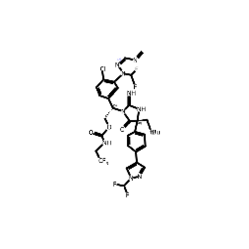 C=N/C=N\N(c1cc([C@@H](COC(=O)NCC(F)(F)F)N2C(=N)N[C@](CC(C)(C)C)(c3ccc(-c4cnn(C(F)F)c4)cc3)C2=O)ccc1Cl)C(F)F